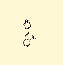 CN(C)c1ccccc1/C=C/c1cc[n+](C)cc1